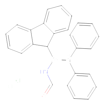 O=C[NH][Zr+2]([CH]1c2ccccc2-c2ccccc21)[SiH](c1ccccc1)c1ccccc1.[Cl-].[Cl-]